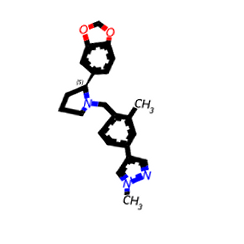 Cc1cc(-c2cnn(C)c2)ccc1CN1CCC[C@H]1c1ccc2c(c1)OCO2